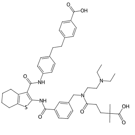 CCN(CC)CCN(Cc1cccc(C(=O)Nc2sc3c(c2C(=O)Nc2ccc(CCc4ccc(C(=O)O)cc4)cc2)CCCC3)c1)C(=O)CCC(C)(C)C(=O)O